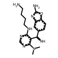 CN(C)c1ncnc(NCCCCN)c1C(=N)c1ccc2oc(N)nc2c1